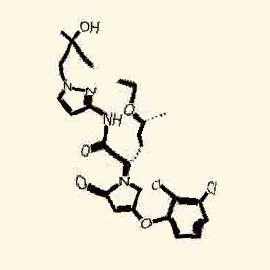 CCO[C@H](C)C[C@@H](C(=O)Nc1ccn(CC(C)(C)O)n1)N1CC(Oc2cccc(Cl)c2Cl)=CC1=O